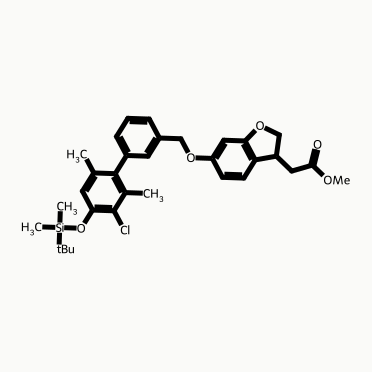 COC(=O)CC1COc2cc(OCc3cccc(-c4c(C)cc(O[Si](C)(C)C(C)(C)C)c(Cl)c4C)c3)ccc21